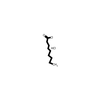 CCCCCCCCC(=O)Cl.Cl